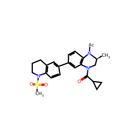 CC(=O)N1c2ccc(-c3ccc4c(c3)CCCN4S(C)(=O)=O)cc2N(C(=O)C2CC2)C[C@@H]1C